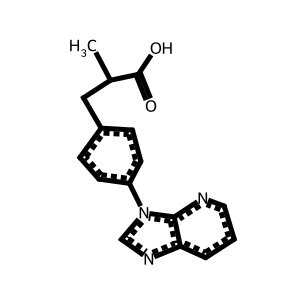 CC(Cc1ccc(-n2cnc3cccnc32)cc1)C(=O)O